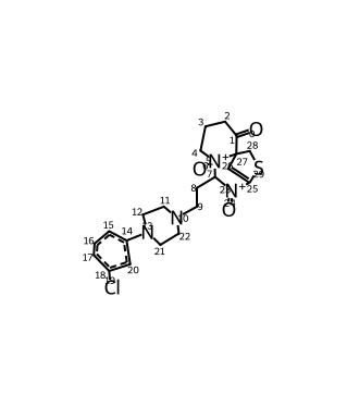 O=C1CCC[N+]2([O-])C(CCN3CCN(c4cccc(Cl)c4)CC3)[N+](=O)C3=CC12CS3